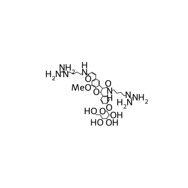 COc1cc(/C=C\C(=O)NCCCCN=C(N)N)cc2c1OC(c1ccc(OC3OC(CO)C(O)C(O)C3O)cc1)C2C(=O)NCCCCN=C(N)N